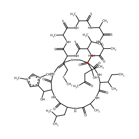 CCC(C)C1NC(=O)C(NC(=O)C(C)NC(=S)C(C)NC(=S)C(C)NC(=S)C(C)NC(=S)C(CCSC)NC(=S)C(NC(=O)C(C)(O)CC(C)=O)C(C)C)CS/C=C\NC(=O)C(C(O)c2c[n+](C)cn2C)NC(=O)C(CC(C)C)NC(=O)C(C)NC1=O